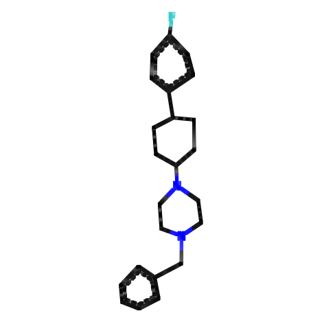 Fc1ccc(C2CCC(N3CCN(Cc4ccccc4)CC3)CC2)cc1